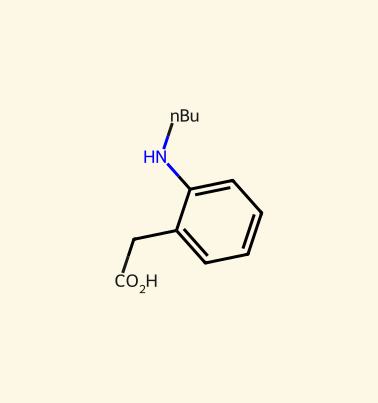 CCCCNc1ccccc1CC(=O)O